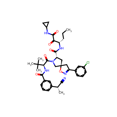 CCC[C@H](NC(=O)[C@@H]1C[C@]2(CC(c3cccc(Cl)c3)=NO2)CN1C(=O)[C@@H](NC(=O)c1cccc([C@@H](C)C#N)c1)C(C)(C)C)C(=O)C(=O)NC1CC1